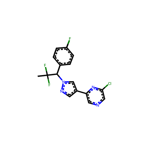 CC(F)(F)C(c1ccc(F)cc1)n1cc(-c2cncc(Cl)n2)cn1